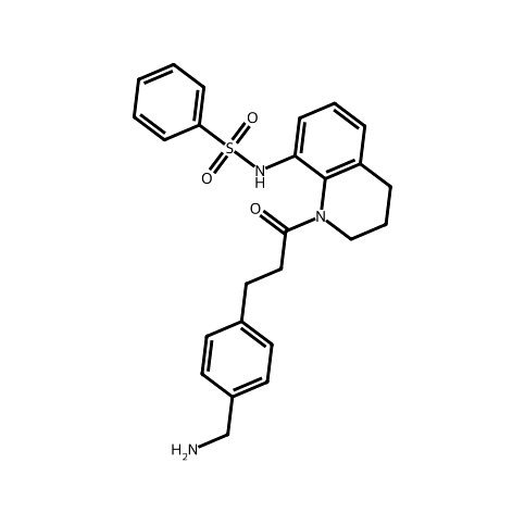 NCc1ccc(CCC(=O)N2CCCc3cccc(NS(=O)(=O)c4ccccc4)c32)cc1